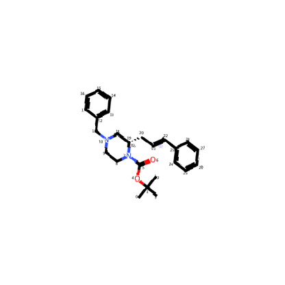 CC(C)(C)OC(=O)N1CCN(Cc2ccccc2)C[C@@H]1C/C=C/c1ccccc1